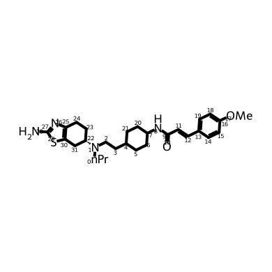 CCCN(CCC1CCC(NC(=O)/C=C/c2ccc(OC)cc2)CC1)[C@H]1CCc2nc(N)sc2C1